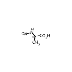 C[C@H](NN=O)C(=O)O